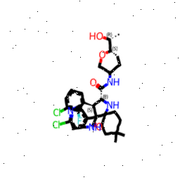 C[C@@H](O)[C@@H]1CCC(NC(=O)[C@@H]2NC3(CCC(C)(C)CC3)C3(C(=O)Nc4cc(Cl)ncc43)[C@H]2c2cccc(Cl)c2F)CO1